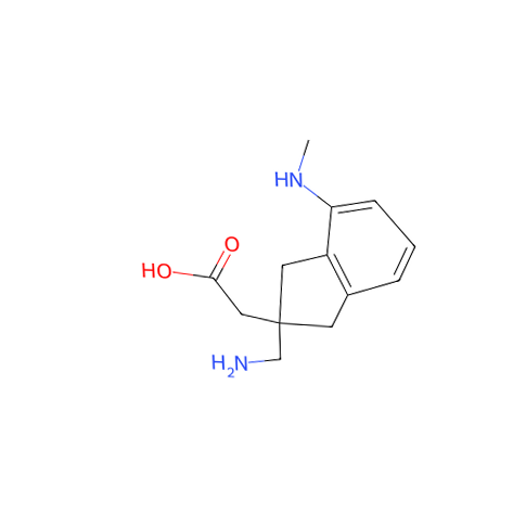 CNc1cccc2c1CC(CN)(CC(=O)O)C2